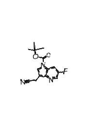 CC(C)(C)OC(=O)n1cc(CC#N)c2ncc(F)cc21